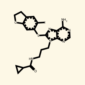 Nc1ncnc2c1nc(Sc1cc3c(cc1I)CCO3)n2CCCNC(=O)C1CC1